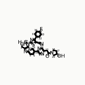 CCc1nc2ccc(-c3cnc(CC(=O)N4CC[C@H](O)C4)cn3)cn2c1N(C)c1nc(-c2ccc(F)cc2)c(C#N)s1